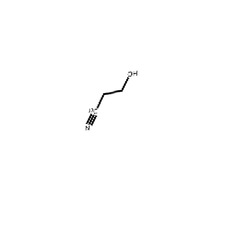 N#[13C]CCO